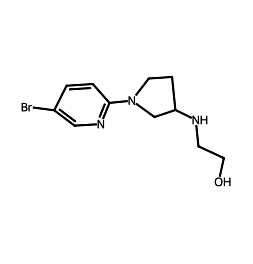 OCCNC1CCN(c2ccc(Br)cn2)C1